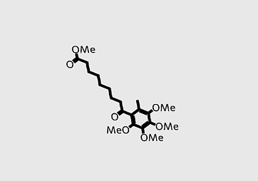 COC(=O)CCCCCCCC(=O)c1c(C)c(OC)c(OC)c(OC)c1OC